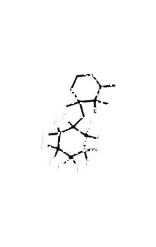 CC1CCCC(C)(CC2(F)C(F)(F)C(F)(F)C(F)(F)C(F)(F)C2(F)F)C1(C)C